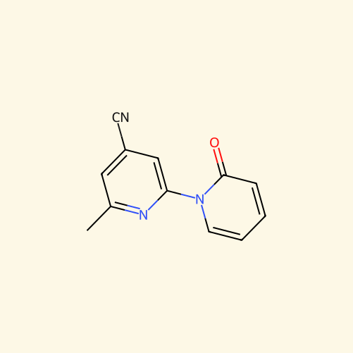 Cc1cc(C#N)cc(-n2ccccc2=O)n1